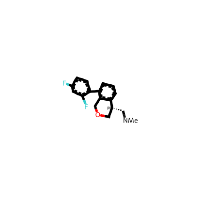 CNC[C@@H]1COCc2c(-c3ccc(F)cc3F)cccc21